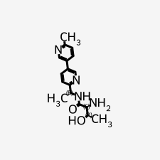 Cc1ccc(-c2ccc([C@@H](C)NC(=O)[C@@H](N)[C@@H](C)O)nc2)cn1